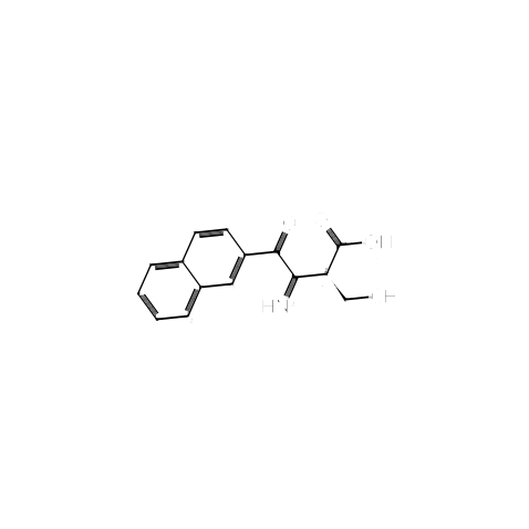 CC[C@@H](C(=N)C(=O)c1ccc2ccccc2c1)C(=O)O